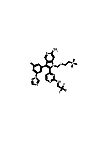 Cc1cc(-c2c(-c3ccnc(NCC(F)(F)F)n3)n(COCC[Si](C)(C)C)c3cc(N)ncc23)cc(-n2cncn2)c1